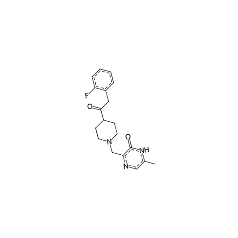 Cc1cnc(CN2CCC(C(=O)Cc3ccccc3F)CC2)c(=O)[nH]1